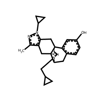 Cc1nn(C2CC2)c2c1C[C@]1(O)C3Cc4ccc(O)cc4[C@]1(CCN3CC1CC1)C2